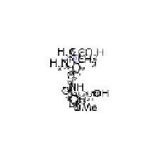 C=C(C(=O)O)/C(C)=N\c1cccc(OCCNC(=O)c2ccc(OC)c(OCCCO)c2)c1CN